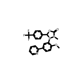 COc1ccc(-c2ccccn2)cc1N1C(c2ccc(C(F)(F)F)cc2)OC(=O)N1C